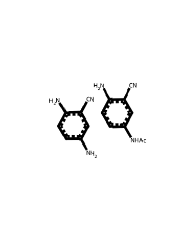 CC(=O)Nc1ccc(N)c(C#N)c1.N#Cc1cc(N)ccc1N